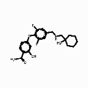 NC(=O)c1ccc(Oc2c(F)cc(CNCC3(O)CCCCC3)cc2F)cc1O